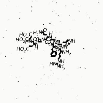 C[C@H](NC(=O)[C@H](Cc1ccccc1)NC(=O)[C@H](Cc1c[nH]cn1)NC(=O)[C@@H](N)CCCNC(=N)N)C(=O)N[C@@H](CCC(N)=O)C(=O)NCC(=O)N[C@@H](CCC(=O)O)C(=O)N[C@@H](CC(=O)O)C(=O)O